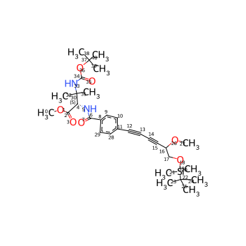 COC(=O)[C@@H](NC(=O)c1ccc(C#CC#CC(CO[Si](C)(C)C(C)(C)C)OC)cc1)C(C)(C)NC(=O)OC(C)(C)C